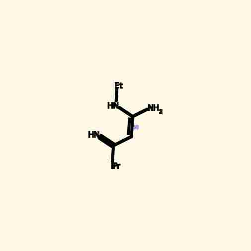 CCN/C(N)=C\C(=N)C(C)C